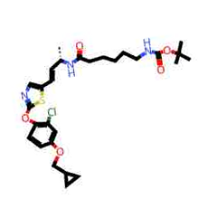 C[C@@H](/C=C/c1cnc(Oc2ccc(OCC3CC3)cc2Cl)s1)NC(=O)CCCCCNC(=O)OC(C)(C)C